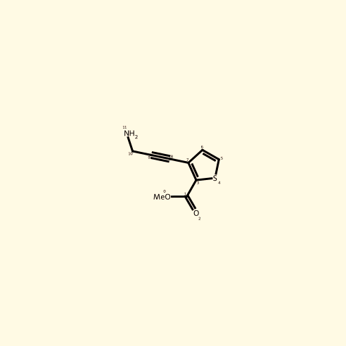 COC(=O)c1sccc1C#CCN